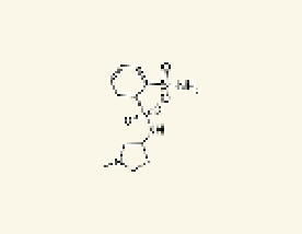 CN1CCC(NS(=O)(=O)c2ccccc2S(N)(=O)=O)C1